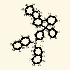 c1ccc(C2(c3ccc(N(c4ccc5ccccc5c4)c4ccc5ccccc5c4)cc3)c3ccccc3-c3c2ccc2c3sc3ccccc32)cc1